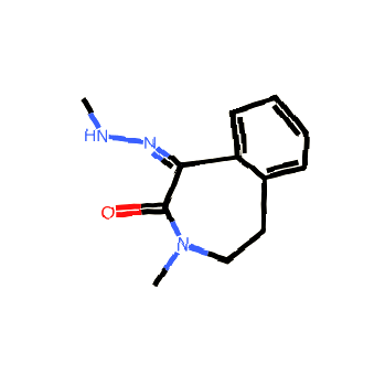 CN/N=C1\C(=O)N(C)CCc2ccccc21